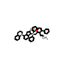 C/C=C/c1c(CS(c2ccccc2)(c2ccccc2)C2C(C)=Cc3c2cccc3N2CCCc3ccccc32)cccc1-c1ccccc1